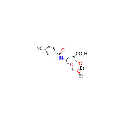 CCOCOCC(CC(COCC)C(=O)O)NC(=O)c1ccc(C#N)cc1